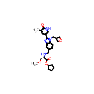 COC[C@H](NCc1ccc2c(c1)nc(-c1c[nH]c(=O)c(C)c1)n2CC1COC1)C(=O)OC1CCCC1